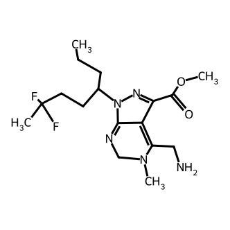 CCCC(CCC(C)(F)F)n1nc(C(=O)OC)c2c1=NCN(C)C=2CN